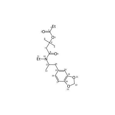 CCC(=O)OC(C)(C)CC(=O)N(CC)C(C)Cc1ccc2c(c1)OCO2